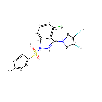 Cc1ccc(S(=O)(=O)n2nc(N3CC(F)C(F)C3)c3c(Cl)cccc32)cc1